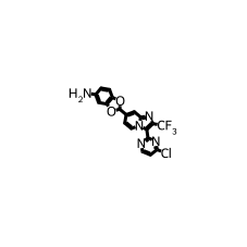 Nc1ccc2c(c1)OC(c1ccn3c(-c4nccc(Cl)n4)c(C(F)(F)F)nc3c1)O2